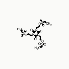 C=CS(=O)(=O)OCCn1c(=O)n(CCOS(=O)(=O)C=C)c(=O)n(CCOS(=O)(=O)C=C)c1=O